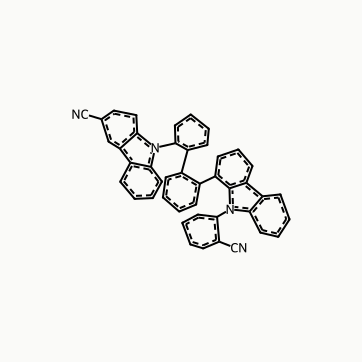 N#Cc1ccc2c(c1)c1ccccc1n2-c1ccccc1-c1ccccc1-c1cccc2c3ccccc3n(-c3ccccc3C#N)c12